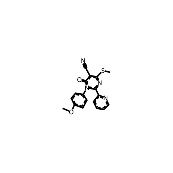 COc1ccc(-n2c(-c3ccccn3)nc(SC)c(C#N)c2=O)cc1